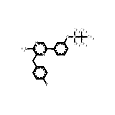 CC(C)(C)[Si](C)(C)Oc1cccc(-c2cnc(N)c(Cc3ccc(F)cc3)n2)c1